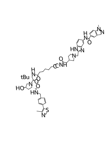 Cc1ncsc1-c1ccc(CNC(=O)[C@@H]2C[C@@H](O)CN2C(=O)[C@@H](NC(=O)CCCCCCCNC(=O)CC2CCN(Cc3nc4cc(NC(=O)c5ccc6c(cnn6C)c5)ccc4[nH]3)C2)C(C)(C)C)cc1